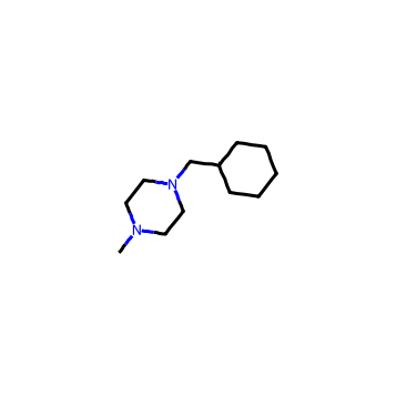 CN1CCN(C[C]2CCCCC2)CC1